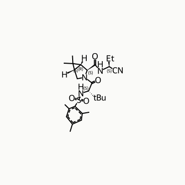 CC[C@@H](C#N)NC(=O)[C@@H]1[C@@H]2[C@H](CN1C(=O)[C@@H](NS(=O)(=O)c1c(C)cc(C)cc1C)C(C)(C)C)C2(C)C